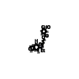 CC/C(=C/CCCCOC(=O)c1ccc(C=O)cc1)C1=C(C)CC2(CCOCC2)CNC1=O